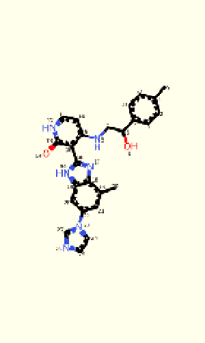 Cc1ccc(C(O)CNc2cc[nH]c(=O)c2-c2nc3c(C)cc(-n4ccnc4)cc3[nH]2)cc1